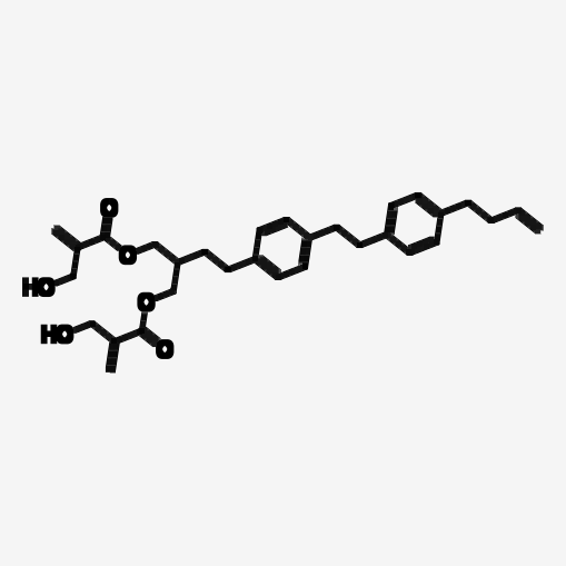 C=CCCc1ccc(CCc2ccc(CCC(COC(=O)C(=C)CO)COC(=O)C(=C)CO)cc2)cc1